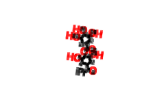 CC(C)C(=O)c1cc(O)c(OC(=O)c2cc(O)c(O)c(O)c2)c(O)c1